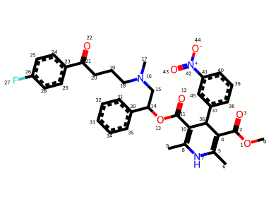 COC(=O)C1=C(C)NC(C)=C(C(=O)OC(CN(C)CCCC(=O)c2ccc(F)cc2)c2ccccc2)C1c1cccc([N+](=O)[O-])c1